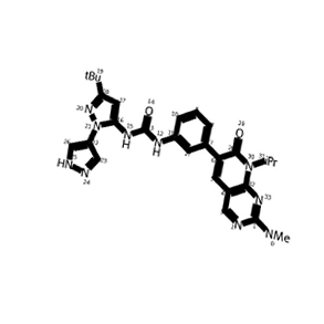 CNc1ncc2cc(-c3cccc(NC(=O)Nc4cc(C(C)(C)C)nn4-c4cn[nH]c4)c3)c(=O)n(C(C)C)c2n1